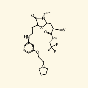 CCN1C(=O)C(CCNc2cccc(OCCN3CCCC3)c2)SC1CC(C#N)C(=O)NCC(F)(F)F